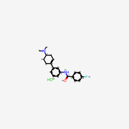 CN(C)C1CC=C(c2cccc(NC(=O)c3ccc(F)cc3)c2)CC1.Cl